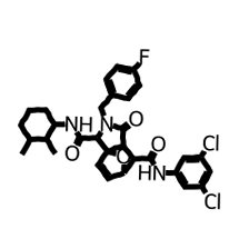 CC1CCCC(NC(=O)C2N(Cc3ccc(F)cc3)C(=O)C3C(C(=O)Nc4cc(Cl)cc(Cl)c4)C4C=CC32O4)C1C